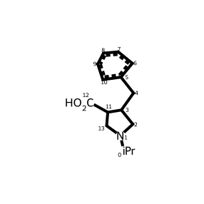 CC(C)N1CC(Cc2ccccc2)C(C(=O)O)C1